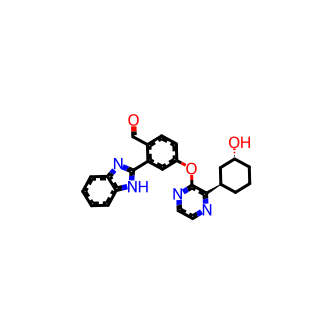 O=Cc1ccc(Oc2nccnc2[C@@H]2CCC[C@@H](O)C2)cc1-c1nc2ccccc2[nH]1